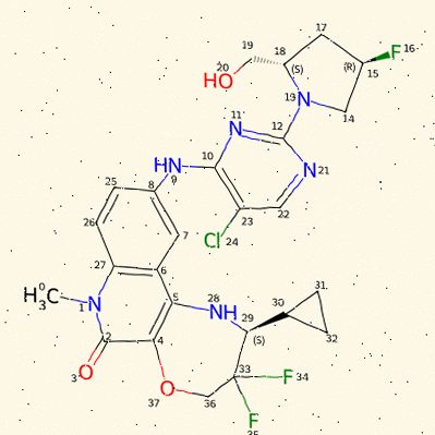 Cn1c(=O)c2c(c3cc(Nc4nc(N5C[C@H](F)C[C@H]5CO)ncc4Cl)ccc31)N[C@@H](C1CC1)C(F)(F)CO2